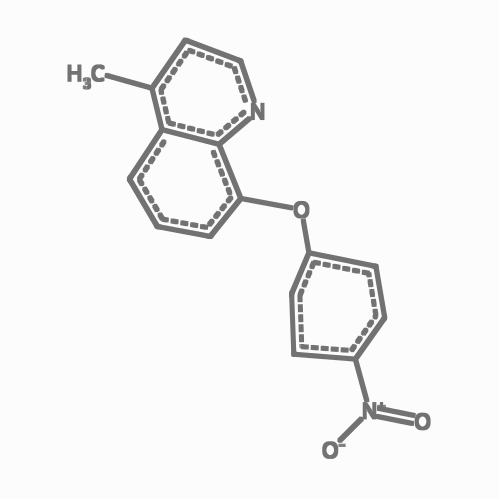 Cc1ccnc2c(Oc3ccc([N+](=O)[O-])cc3)cccc12